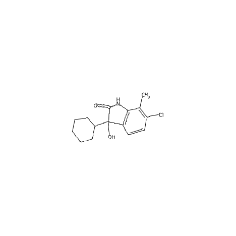 Cc1c(Cl)ccc2c1NC(=O)C2(O)C1CCCCC1